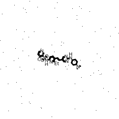 CCc1nc(NS(=O)(=O)c2cnccc2Cl)ccc1/C=C/c1cnc(NC2CCC(N(C)C)CC2)nc1